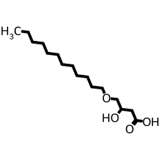 CCCCCCCCCCCCOCC(O)CC(=O)O